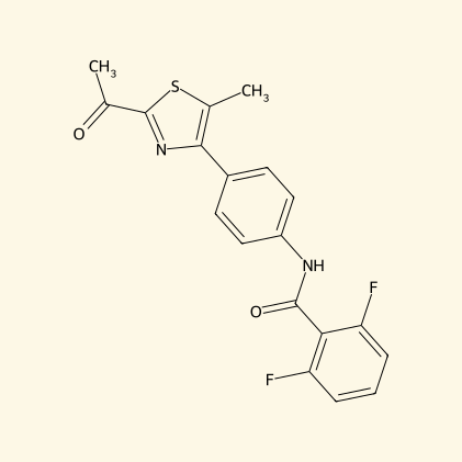 CC(=O)c1nc(-c2ccc(NC(=O)c3c(F)cccc3F)cc2)c(C)s1